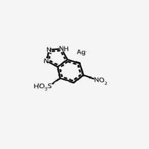 O=[N+]([O-])c1cc(S(=O)(=O)O)c2nn[nH]c2c1.[Ag]